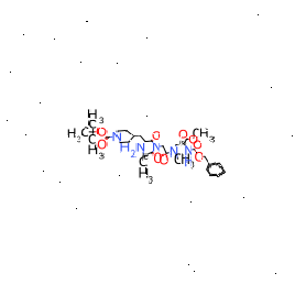 COC(=O)[C@H](CN(C)C(=O)CN(C(=O)CCC1CCN(C(=O)OC(C)(C)C)CC1)C(=O)[C@H](C)N)NC(=O)OCc1ccccc1